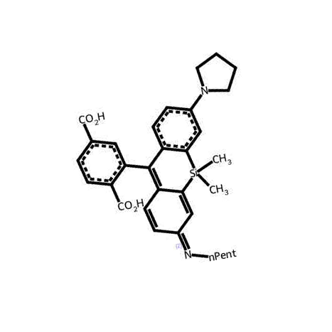 CCCCC/N=C1/C=CC2=C(c3cc(C(=O)O)ccc3C(=O)O)c3ccc(N4CCCC4)cc3[Si](C)(C)C2=C1